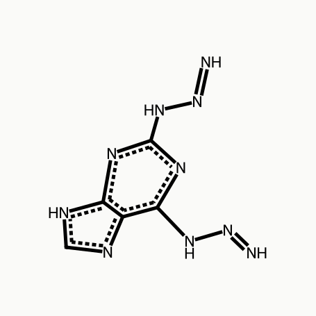 N=NNc1nc(NN=N)c2nc[nH]c2n1